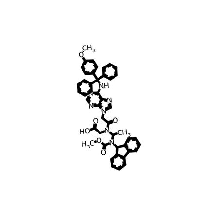 COC(=O)N(C1c2ccccc2-c2ccccc21)C(C)N(CC(=O)O)C(=O)Cn1cnc2c(NC(c3ccccc3)(c3ccccc3)c3ccc(OC)cc3)ncnc21